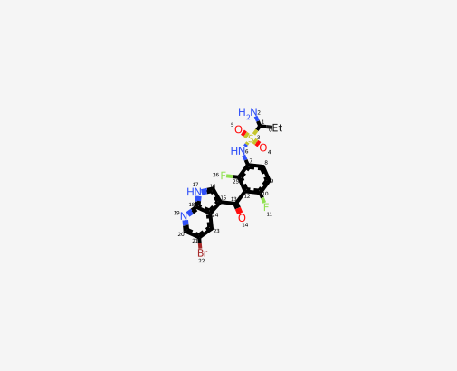 CCC(N)S(=O)(=O)Nc1ccc(F)c(C(=O)c2c[nH]c3ncc(Br)cc23)c1F